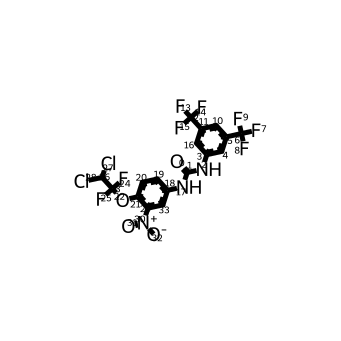 O=C(Nc1cc(C(F)(F)F)cc(C(F)(F)F)c1)Nc1ccc(OC(F)(F)C(Cl)Cl)c([N+](=O)[O-])c1